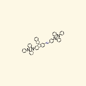 C1=CC2=C(CC1)N(C1=CC3C(C=C1)c1ccc(/C=C/c4ccc(N5c6ccccc6N(c6ccccc6)c6ccccc65)cc4)cc1C31Cc3ccccc3C1)c1ccccc1N2c1ccccc1